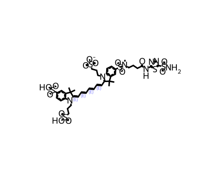 CN(CCCC(=O)Nc1nnc(S(N)(=O)=O)s1)S(=O)(=O)c1ccc2c(c1)C(C)(C)C(/C=C/C=C/C=C/C=C1/N(CCCS(=O)(=O)O)c3ccc(S(=O)(=O)O)cc3C1(C)C)=[N+]2CCCS(=O)(=O)[O-]